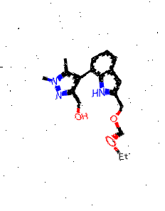 CCOCOCc1cc2cccc(-c3c(CO)nn(C)c3C)c2[nH]1